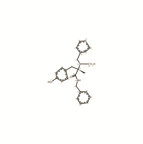 C[C@](Cc1ccc(O)cc1)(C(=O)NCc1ccccc1)N(Cc1ccncc1)C(=O)O